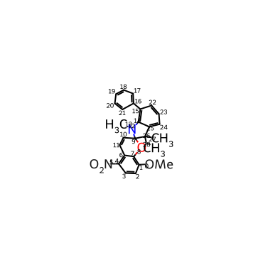 COc1ccc([N+](=O)[O-])c2c1OC1(C=C2)N(C)c2c(-c3ccccc3)cccc2C1(C)C